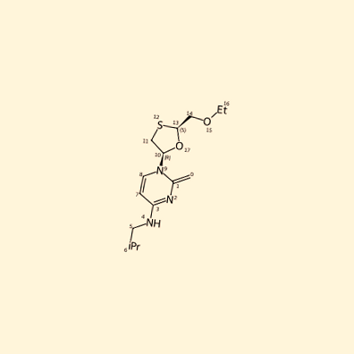 C=C1N=C(NCC(C)C)C=CN1[C@H]1CS[C@@H](COCC)O1